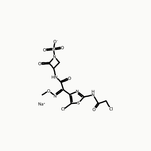 CON=C(C(=O)NC1CN(S(=O)(=O)[O-])C1=O)c1nc(NC(=O)CCl)sc1Cl.[Na+]